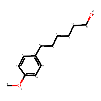 COc1ccc(CCCCCC[O])cc1